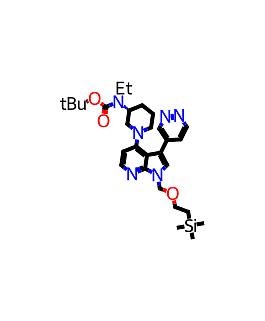 CCN(C(=O)OC(C)(C)C)[C@H]1CCCN(c2ccnc3c2c(-c2ccnnc2)cn3COCC[Si](C)(C)C)C1